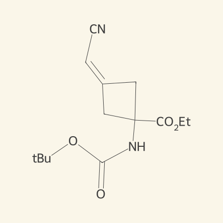 CCOC(=O)C1(NC(=O)OC(C)(C)C)CC(=CC#N)C1